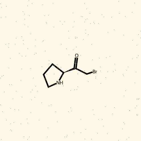 O=C(CBr)[C@@H]1CCCN1